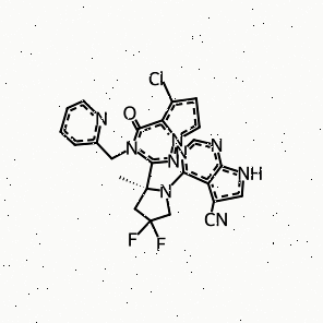 C[C@@]1(c2nn3ccc(Cl)c3c(=O)n2Cc2ccccn2)CC(F)(F)CN1c1ncnc2[nH]cc(C#N)c12